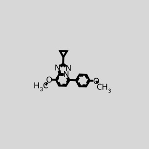 COc1ccc(-c2ccc(OC)c3nc(C4CC4)nn23)cc1